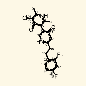 Cc1[nH]c(C)c(-c2c[nH]c(CCc3ccc(F)cc3F)cc2=O)c(=O)c1Cl